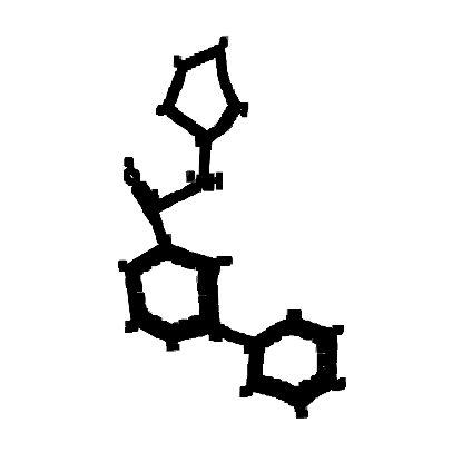 O=C(NC1CCCC1)c1cccc(-c2ccccc2)c1